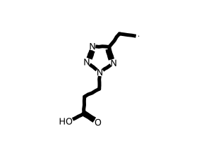 [CH2]Cc1nnn(CCC(=O)O)n1